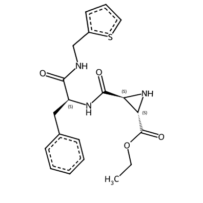 CCOC(=O)[C@H]1N[C@@H]1C(=O)N[C@@H](Cc1ccccc1)C(=O)NCc1cccs1